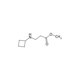 COC(=O)CCNC1CCC1